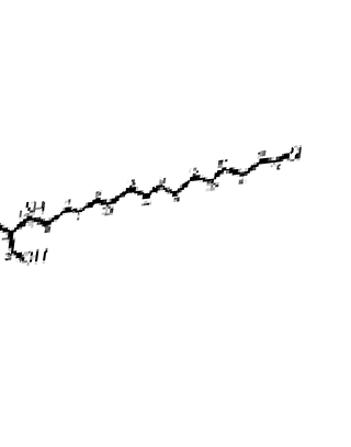 CC(CO)C(S)CCCCCCCCCCCCCCCS